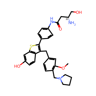 COc1cc(Cc2c(-c3ccc(NC(=O)C[C@@H](N)CO)cc3)sc3cc(O)ccc23)ccc1CN1CCCC1